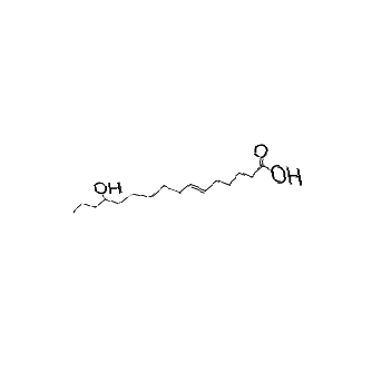 CCCC(O)CCCCCC=CCCCCC(=O)O